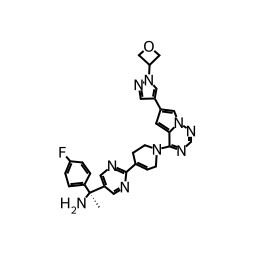 C[C@](N)(c1ccc(F)cc1)c1cnc(C2=CCN(c3ncnn4cc(-c5cnn(C6COC6)c5)cc34)CC2)nc1